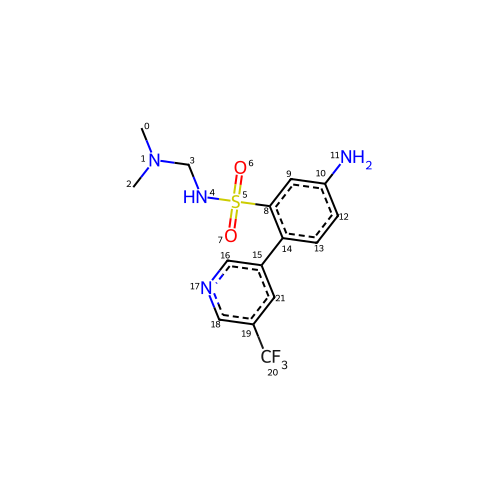 CN(C)CNS(=O)(=O)c1cc(N)ccc1-c1cncc(C(F)(F)F)c1